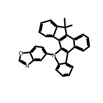 CC1(C)c2ccccc2-c2c1c1ccccc1c1c3ccccc3n(-c3ccc4ocnc4c3)c21